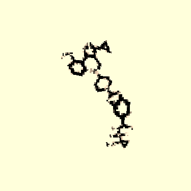 CC1(S(=O)(=O)NC(=O)c2ccc3nc(N4CCC(NCc5c(-c6ccccc6OC(F)(F)F)noc5C5CC5)CC4)sc3c2)CC1